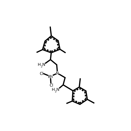 Cc1cc(C)c(C(N)C[N](CC(N)c2c(C)cc(C)cc2C)[Rh]([Cl])[Cl])c(C)c1